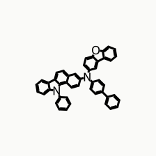 c1ccc(-c2ccc(N(c3ccc4c(ccc5c6ccccc6n(-c6ccccc6)c45)c3)c3ccc4oc5ccccc5c4c3)cc2)cc1